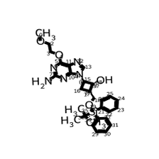 COCCOc1nc(N)nc2c1ncn2[C@@H]1C[C@H](CO[Si](c2ccccc2)(c2ccccc2)C(C)(C)C)[C@H]1O